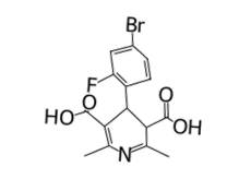 CC1=NC(C)=C(C(=O)O)C(c2ccc(Br)cc2F)C1C(=O)O